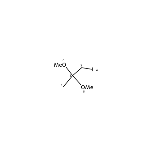 COC(C)(CI)OC